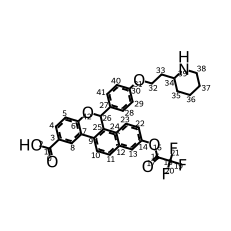 O=C(O)c1ccc2c(c1)-c1ccc3cc(OC(=O)C(F)(F)F)ccc3c1C(c1ccc(OCCC3CCCCN3)cc1)O2